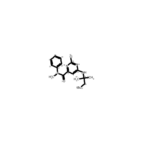 CN(C(=O)c1cc(NC(C)(C)CC(C)(C)C)nc(Cl)n1)c1ccccc1